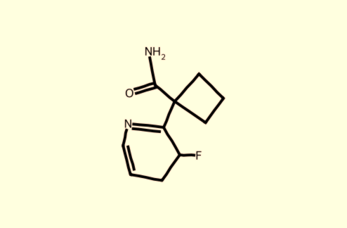 NC(=O)C1(C2=NC=CCC2F)CCC1